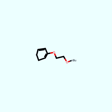 CCCCOCCOC1=CC[CH]C=C1